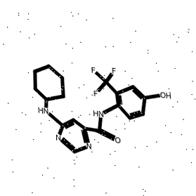 O=C(Nc1ccc(O)cc1C(F)(F)F)c1cc(NC2CCCCC2)ncn1